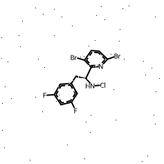 Fc1cc(F)cc(C[C@H](NCl)c2nc(Br)ccc2Br)c1